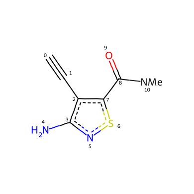 C#Cc1c(N)nsc1C(=O)NC